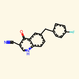 N#Cc1c[nH]c2ccc(Cc3ccc(F)cc3)cc2c1=O